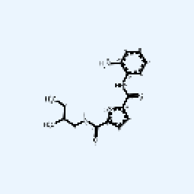 CCC(C)CNC(=O)c1ccc(C(=O)Nc2ccccc2N)s1